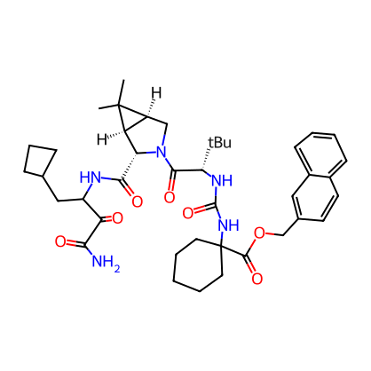 CC(C)(C)[C@H](NC(=O)NC1(C(=O)OCc2ccc3ccccc3c2)CCCCC1)C(=O)N1C[C@H]2[C@@H]([C@H]1C(=O)NC(CC1CCC1)C(=O)C(N)=O)C2(C)C